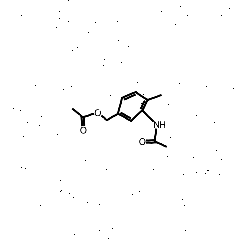 CC(=O)Nc1cc(COC(C)=O)ccc1C